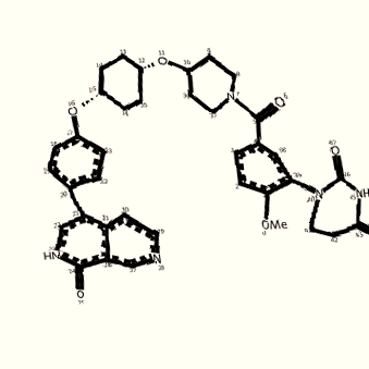 COc1ccc(C(=O)N2CCC(O[C@H]3CC[C@@H](Oc4ccc(-c5c[nH]c(=O)c6cnccc56)cc4)CC3)CC2)cc1N1CCC(=O)NC1=O